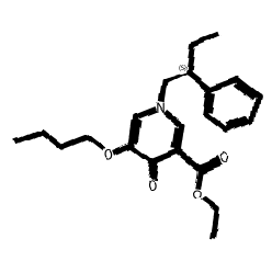 CCCCOc1cn(C[C@@H](CC)c2ccccc2)cc(C(=O)OCC)c1=O